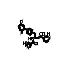 O=C(NC(Cc1ccc(-c2cc(Cl)ccc2F)cc1)C[C@H](C(=O)O)c1cccnc1)c1cnn[nH]1